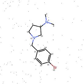 CN(C)C1CCN(Cc2ccc(Br)cc2)C1